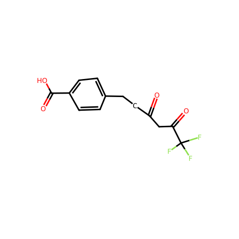 O=C(CCc1ccc(C(=O)O)cc1)CC(=O)C(F)(F)F